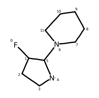 FC1CC[N]C1N1CCCCC1